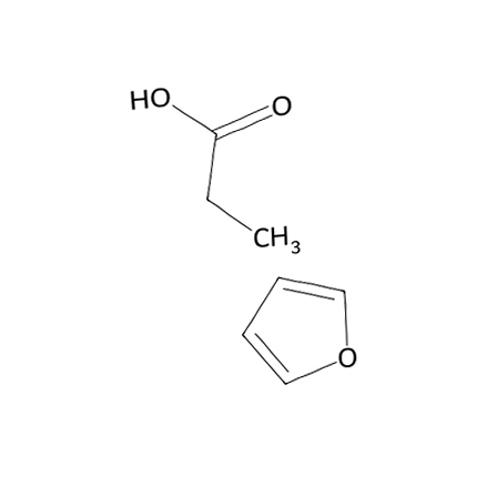 CCC(=O)O.c1ccoc1